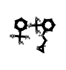 CC(C)(C)c1ccccc1.CC(C)(C)c1ccccc1OCC1CO1